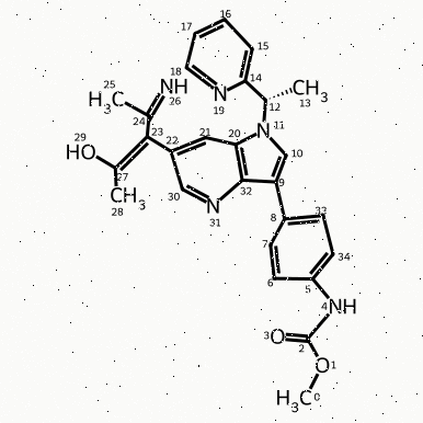 COC(=O)Nc1ccc(-c2cn([C@@H](C)c3ccccn3)c3cc(/C(C(C)=N)=C(\C)O)cnc23)cc1